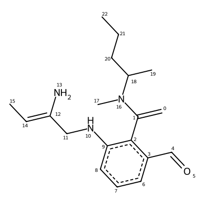 C=C(c1c(C=O)cccc1NC/C(N)=C/C)N(C)C(C)CCC